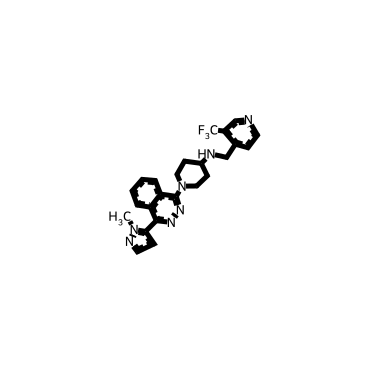 Cn1nccc1-c1nnc(N2CCC(NCc3ccncc3C(F)(F)F)CC2)c2ccccc12